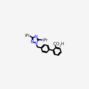 CCCc1nc(C(C)C)nn1Cc1ccc(-c2ccccc2C(=O)O)cc1